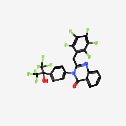 O=c1c2ccccc2nc(Cc2c(F)c(F)c(F)c(F)c2F)n1-c1ccc(C(O)(C(F)(F)F)C(F)(F)F)cc1